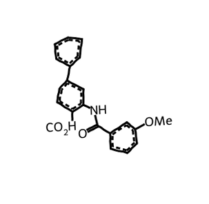 COc1cccc(C(=O)Nc2cc(-c3ccccc3)ccc2C(=O)O)c1